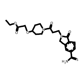 CCOC(=O)COC1CCN(C(=O)CCN2Cc3cc(C(N)=S)ccc3C2=O)CC1